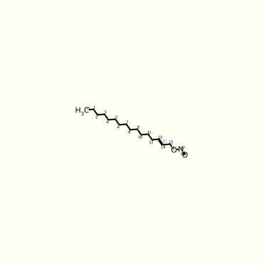 CCCCCCCCCCCCC/C=C/CON=O